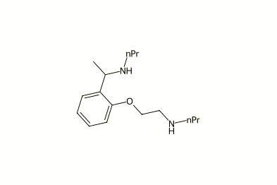 CCCNCCOc1ccccc1C(C)NCCC